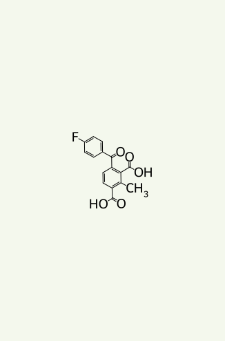 Cc1c(C(=O)O)ccc(C(=O)c2ccc(F)cc2)c1C(=O)O